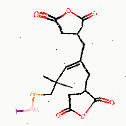 CC(C)(C=C(CC1CC(=O)OC1=O)CC1CC(=O)OC1=O)CPBI